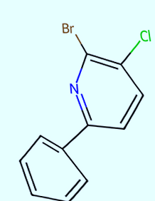 Clc1ccc(-c2ccccc2)nc1Br